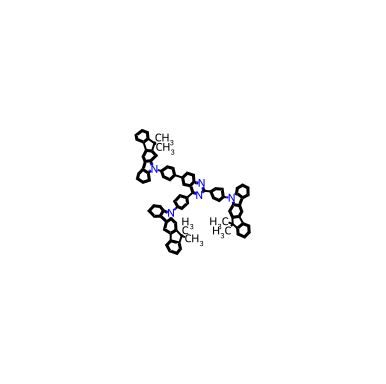 CC1(C)c2ccccc2-c2cc3c4ccccc4n(-c4ccc(-c5ccc6nc(-c7ccc(-n8c9ccccc9c9cc%10c(cc98)C(C)(C)c8ccccc8-%10)cc7)nc(-c7ccc(-n8c9ccccc9c9cc%10c(cc98)C(C)(C)c8ccccc8-%10)cc7)c6c5)cc4)c3cc21